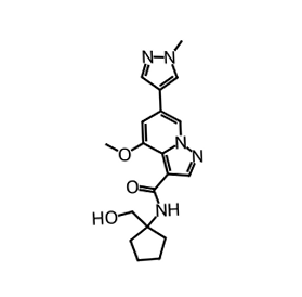 COc1cc(-c2cnn(C)c2)cn2ncc(C(=O)NC3(CO)CCCC3)c12